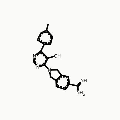 Cc1ccc(-c2ncnc(N3Cc4ccc(C(=N)N)cc4C3)c2O)cc1